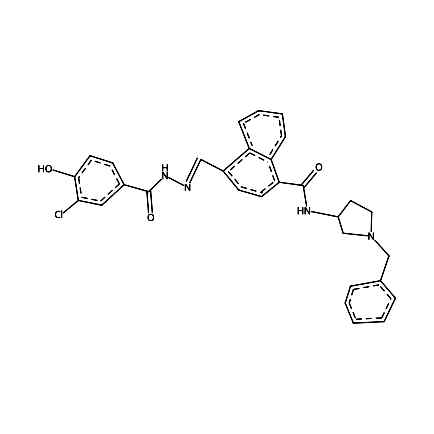 O=C(N/N=C/c1ccc(C(=O)NC2CCN(Cc3ccccc3)C2)c2ccccc12)c1ccc(O)c(Cl)c1